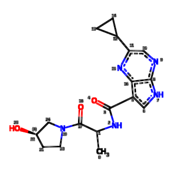 CC(NC(=O)c1c[nH]c2ncc(C3CC3)nc12)C(=O)N1CC[C@@H](O)C1